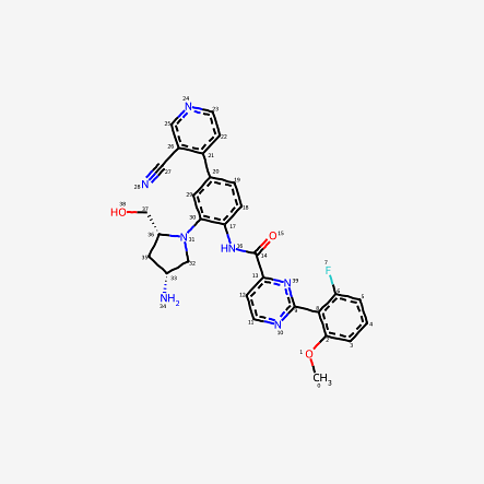 COc1cccc(F)c1-c1nccc(C(=O)Nc2ccc(-c3ccncc3C#N)cc2N2C[C@H](N)C[C@@H]2CO)n1